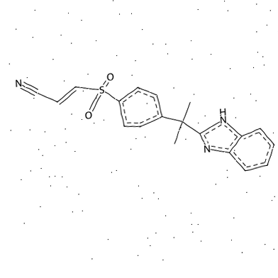 CC(C)(c1ccc(S(=O)(=O)C=CC#N)cc1)c1nc2ccccc2[nH]1